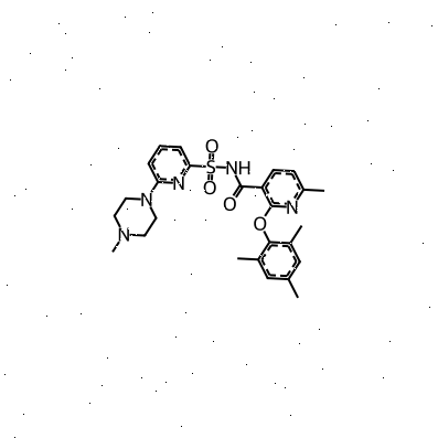 Cc1cc(C)c(Oc2nc(C)ccc2C(=O)NS(=O)(=O)c2cccc(N3CCN(C)CC3)n2)c(C)c1